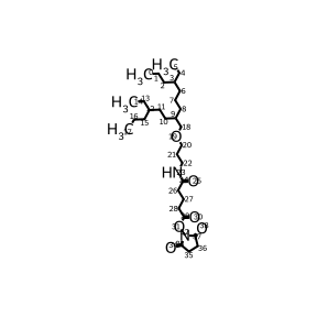 CCCC(CC)CCCC(CCC(CC)CCC)COCCCNC(=O)CCCC(=O)ON1C(=O)CCC1=O